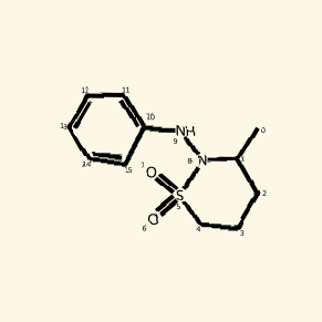 CC1CCCS(=O)(=O)N1Nc1ccccc1